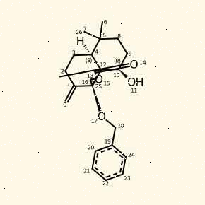 C=C1CC[C@H]2C(C)(C)CC[C@@H](O)C23C(=O)O[C@H](OCc2ccccc2)C13